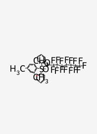 Cc1cc(C)c(S(OC(=O)C(F)(F)C(F)(F)C(F)(F)C(F)(F)C(F)(F)C(F)(F)C(F)(F)F)(c2ccccc2)c2ccccc2)c(C)c1